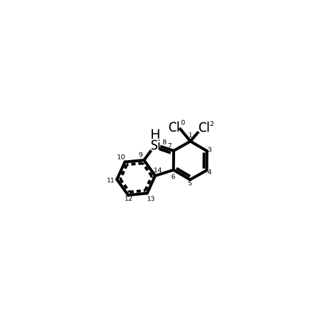 ClC1(Cl)C=CC=C2C1=[SiH]c1ccccc12